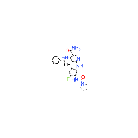 CC(Nc1cc(Nc2ccc(F)c(NC(=O)N3CCCC3)c2)ncc1C(N)=O)c1ccccc1